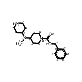 CN(C1CCNCC1)C1CCN(C(=O)OCc2ccccc2)CC1